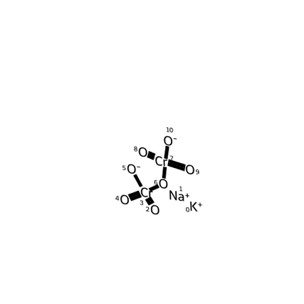 [K+].[Na+].[O]=[Cr](=[O])([O-])[O][Cr](=[O])(=[O])[O-]